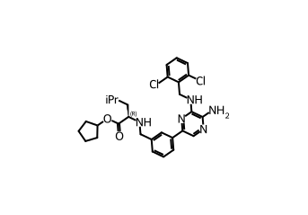 CC(C)C[C@@H](NCc1cccc(-c2cnc(N)c(NCc3c(Cl)cccc3Cl)n2)c1)C(=O)OC1CCCC1